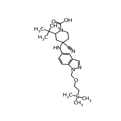 CC(C)(C)C1CC(C#N)(Nc2ccc3c(cnn3COCC[Si](C)(C)C)c2)CCN1C(=O)O